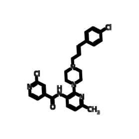 Cc1ccc(NC(=O)c2ccnc(Cl)c2)c(N2CCN(C/C=C/c3ccc(Cl)cc3)CC2)n1